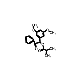 COc1cc(OC)cc(C(OC(=O)C(C)C)C(=O)c2ccccc2)c1